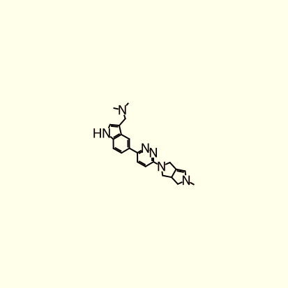 CN(C)Cc1c[nH]c2ccc(-c3ccc(N4CC5=CN(C)CC5C4)nn3)cc12